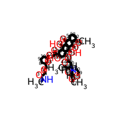 CNC(=O)COCC1CCCC(OCC(=O)[C@]2(O)Cc3c(O)c4c(c(O)c3[C@@H](O[C@H]3C[C@H]5[C@H](O[C@@H]6[C@@H](OC)OCCN65)[C@H](C)O3)C2)C(=O)c2c(OC)cccc2C4=O)O1